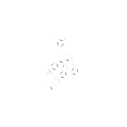 COc1ccc(COCCN(C)C(=O)C(Cc2ccccc2)N(Cc2ccc(N3CCN(C(C)=O)CC3)cc2)C(=O)C=Cc2ccc(C(F)(F)F)cc2)cc1F